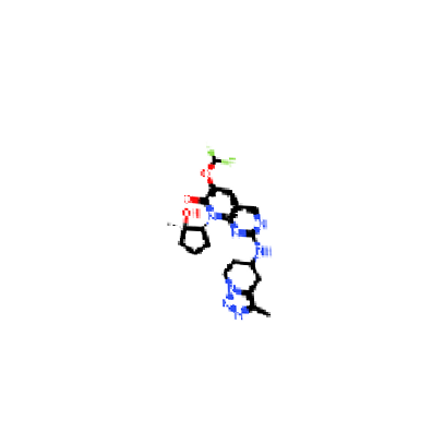 Cc1nnn2c1CC(Nc1ncc3cc(OC(F)F)c(=O)n([C@@H]4CCC[C@@]4(C)O)c3n1)CC2